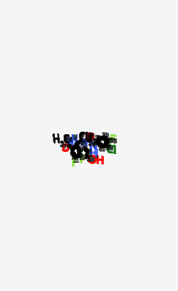 C[C@@H](c1nn(C)c(=O)c2cc(F)c(F)cc12)N(CCCO)C(=O)Nc1ccc(F)c(Cl)c1